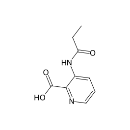 CCC(=O)Nc1cccnc1C(=O)O